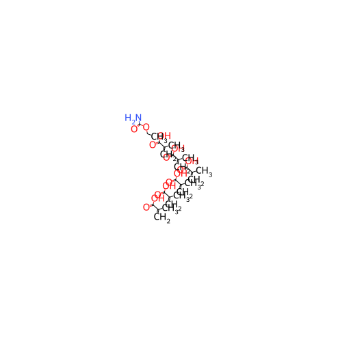 C=C(C)C(=O)O.C=C(C)C(=O)O.C=C(C)C(=O)O.C=C(C)C(=O)O.C=C(C)C(=O)O.C=C(C)C(=O)O.CCOC(N)=O